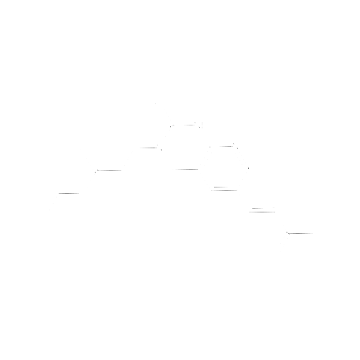 CCOC(=O)CCN1Cc2cc(/C=C/C(C)=O)cnc2NC1=O